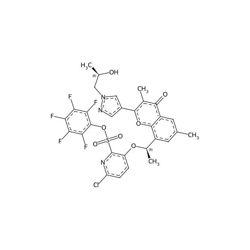 Cc1cc([C@@H](C)Oc2ccc(Cl)nc2S(=O)(=O)Oc2c(F)c(F)c(F)c(F)c2F)c2oc(-c3cnn(C[C@@H](C)O)c3)c(C)c(=O)c2c1